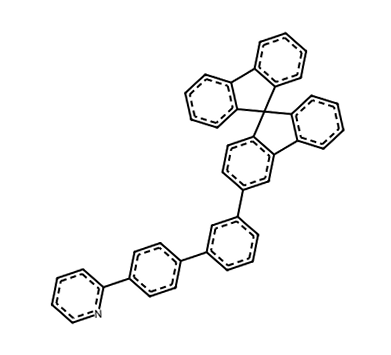 c1ccc(-c2ccc(-c3cccc(-c4ccc5c(c4)-c4ccccc4C54c5ccccc5-c5ccccc54)c3)cc2)nc1